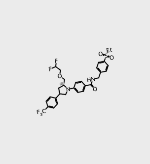 CCS(=O)(=O)c1ccc(CNC(=O)c2ccc(N3CC(c4ccc(C(F)(F)F)cc4)C[C@H]3COCC(F)F)cc2)cc1